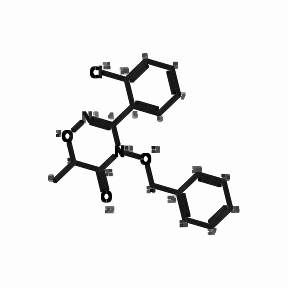 CC1ON=C(c2ccccc2Cl)N(OCc2ccccc2)C1=O